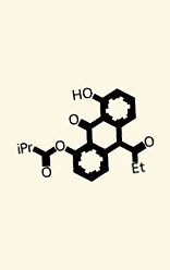 CCC(=O)C1c2cccc(O)c2C(=O)c2c(OC(=O)C(C)C)cccc21